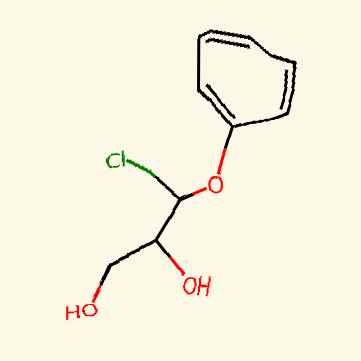 OCC(O)C(Cl)Oc1ccccc1